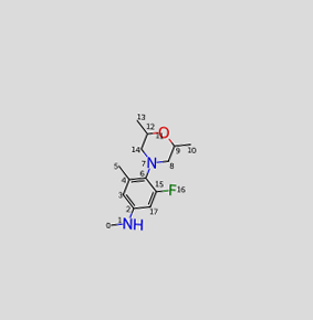 CNc1cc(C)c(N2CC(C)OC(C)C2)c(F)c1